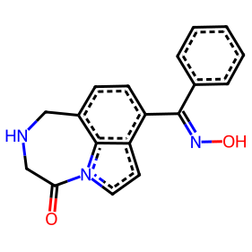 O=C1CNCc2ccc(C(=NO)c3ccccc3)c3ccn1c23